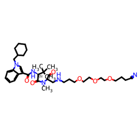 CN(C(=O)[C@@H](NC(=O)c1cn(CC2CCCCC2)c2ccccc12)C(C)(C)C)C(C=O)CNCCCOCCOCCOCCCC#N